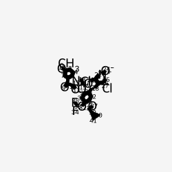 COc1ccc2c(c1)C(=O)C(=O)N2CC(=O)O[C@@H](Cc1c(Cl)c[n+]([O-])cc1Cl)c1ccc(OC(F)F)c(OCC2CC2)c1